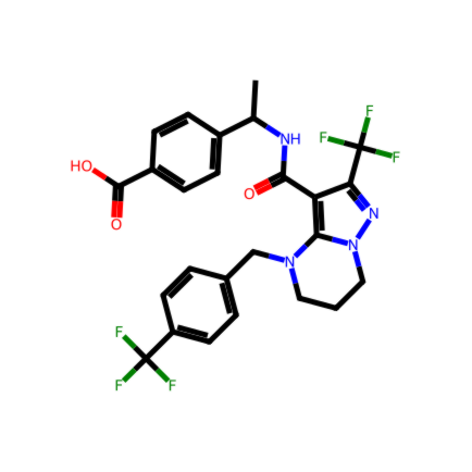 CC(NC(=O)c1c(C(F)(F)F)nn2c1N(Cc1ccc(C(F)(F)F)cc1)CCC2)c1ccc(C(=O)O)cc1